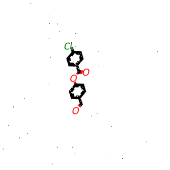 O=Cc1ccc(OC(=O)c2ccc(Cl)cc2)cc1